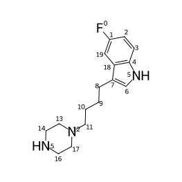 Fc1ccc2[nH]cc(CCCCN3CCNCC3)c2c1